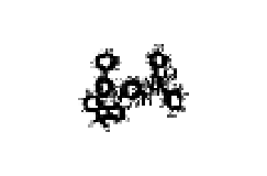 CC1(C)c2ccccc2-c2c(N(c3cccc(-c4ccccc4)c3)c3ccc4c(c3)nc3n(-c5ccccc5)c5oc6ccccc6c5n43)cccc21